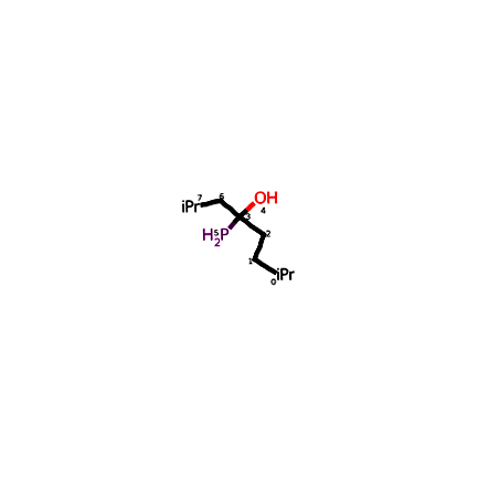 CC(C)CCC(O)(P)CC(C)C